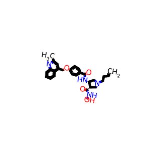 C=CCCN1C[C@H](C(=O)NO)[C@H](NC(=O)c2ccc(OCc3cc(C)nc4ccccc34)cc2)C1